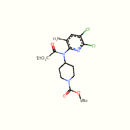 CCOC(=O)C(=O)N(c1nc(Cl)c(Cl)cc1[N+](=O)[O-])C1CCN(C(=O)OC(C)(C)C)CC1